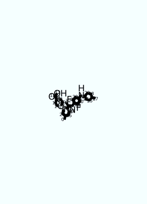 Cc1ccn2c(C[C@H]3CN(C(=O)O)CCO3)c(-c3c(F)cc(NC4CCC(C)CC4)cc3F)nc2c1